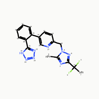 CCCc1nc(C(F)(F)CCC)nn1Cc1ccc(-c2ccccc2-c2nnn[nH]2)cn1